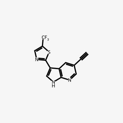 C#Cc1cnc2[nH]cc(-c3ncc(C(F)(F)F)s3)c2c1